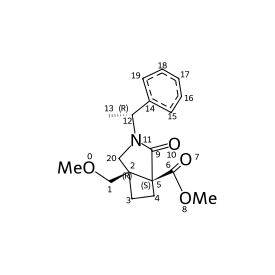 COC[C@]12CC[C@@]1(C(=O)OC)C(=O)N([C@H](C)c1ccccc1)C2